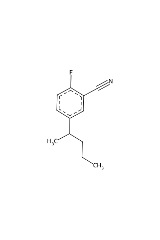 CCCC(C)c1ccc(F)c(C#N)c1